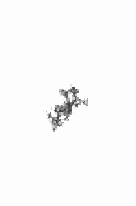 CNC(=N)NCCC[C@H](NC(=O)[C@H](CC(C)C)NC(=O)NNC(=O)[C@H](Cc1ccccc1)NC(=O)[C@@H](NC(=O)[C@H](CC(N)=O)NC(=O)C1CCCCN1C(=O)[C@@H](Cc1ccc(O)cc1)NC(C)=O)[C@@H](C)O)C(=O)N[C@@H](Cc1c[nH]c2ccccc12)C(N)=O